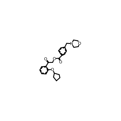 O=C(OCC(=O)c1ccccc1OC1CCCC1)c1ccc(CN2CCOCC2)cc1